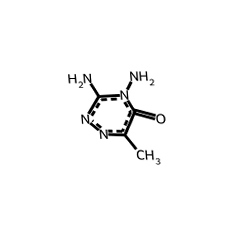 Cc1nnc(N)n(N)c1=O